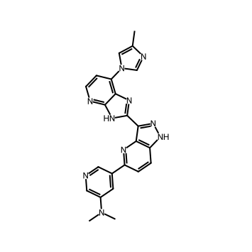 Cc1cn(-c2ccnc3[nH]c(-c4n[nH]c5ccc(-c6cncc(N(C)C)c6)nc45)nc23)cn1